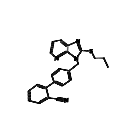 CCCSc1nc2cccnc2n1Cc1ccc(-c2ccccc2C#N)cc1